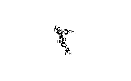 CC1CCN(c2nc(C(F)(F)F)ccc2CNC(=O)Nc2ccc(N3CCC(O)C3)nc2)CC1